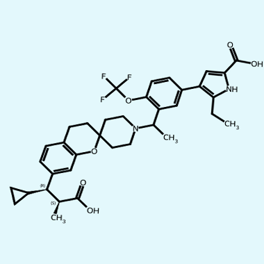 CCc1[nH]c(C(=O)O)cc1-c1ccc(OC(F)(F)F)c(C(C)N2CCC3(CCc4ccc([C@H](C5CC5)[C@H](C)C(=O)O)cc4O3)CC2)c1